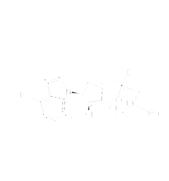 CCC(C)[PH](=O)OC(CC)(CC)C[C@H]1O[C@H](n2cnc3c(S)ncnc32)[C@H](O)C1O